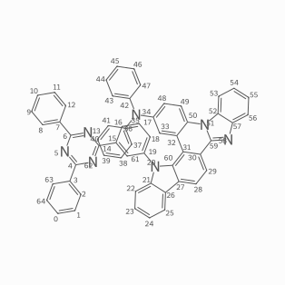 c1ccc(-c2nc(-c3ccccc3)nc(-c3cccc(-n4c5ccccc5c5ccc6c(c7cc(N(c8ccccc8)c8ccccc8)ccc7n7c8ccccc8nc67)c54)c3)n2)cc1